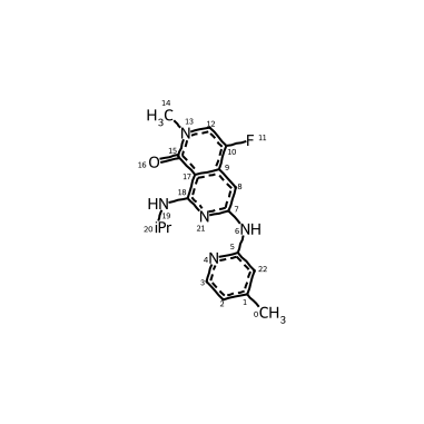 Cc1ccnc(Nc2cc3c(F)cn(C)c(=O)c3c(NC(C)C)n2)c1